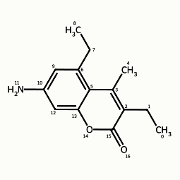 CCc1c(C)c2c(CC)cc(N)cc2oc1=O